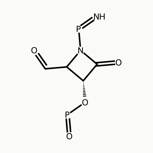 N=PN1C(=O)[C@H](OP=O)C1C=O